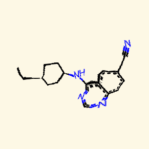 CC[C@H]1CC[C@@H](Nc2ncnc3ccc(C#N)cc23)CC1